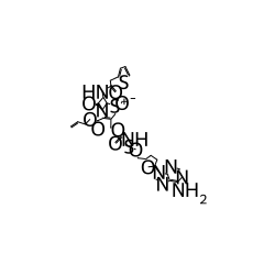 C=CCOC(=O)C1=C(COC(=O)NSOCC2CCC(n3cnc4c(N)ncnc43)O2)C[S+]([O-])C2C(NC(=O)Cc3cccs3)C(=O)N12